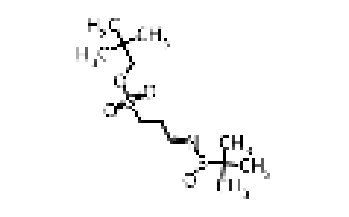 CC(C)(C)COS(=O)(=O)CCC=N[S+]([O-])C(C)(C)C